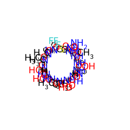 CCCC[C@H]1C(=O)N2C[C@H](O)C[C@@H]2C(=O)N[C@@H](CC(=O)O)C(=O)N[C@@H](C(C)C)C(=O)N(C)[C@@H](Cc2ccccc2)C(=O)N[C@@H](CCC(=O)O)C(=O)N2CCOC[C@@H]2C(=O)N[C@@H](Cc2c[nH]c3ccccc23)C(=O)N[C@@H](Cc2ccc(O)cc2)C(=O)N[C@@H](CCOC)C(=O)N[C@H](C(=O)NCC(N)=O)CSCC(=O)N[C@@H](Cc2cc(F)c(F)c(F)c2)C(=O)N(C)[C@@H](Cc2ccccc2)C(=O)N1C